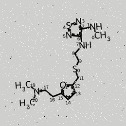 CNc1nsnc1NCCSCc1ccc(CCN(C)C)o1